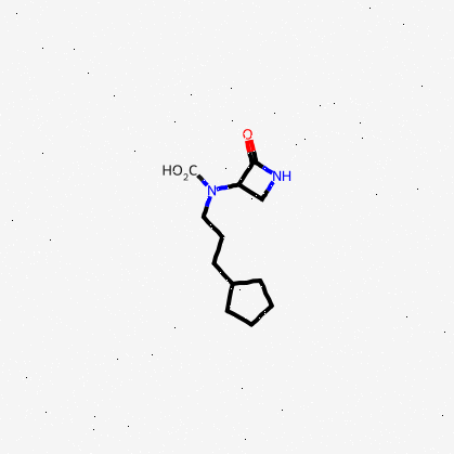 O=C1NCC1N(CCCC1CCCC1)C(=O)O